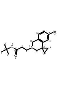 CC(C)(C)OC(=O)CCN1Cc2ccc(Br)cc2C2(CC2)C1